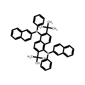 CC(C)(C)c1ccc2c(N(c3ccccc3)c3ccc4ccccc4c3)c(C(C)(C)C)ccc2c1N(c1ccccc1)c1ccc2ccccc2c1